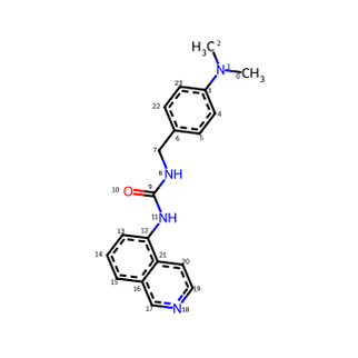 CN(C)c1ccc(CNC(=O)Nc2cccc3cnccc23)cc1